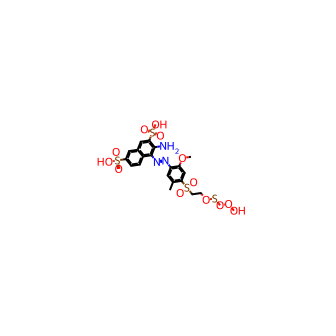 COc1cc(S(=O)(=O)CCOSOOO)c(C)cc1/N=N/c1c(N)c(S(=O)(=O)O)cc2cc(S(=O)(=O)O)ccc12